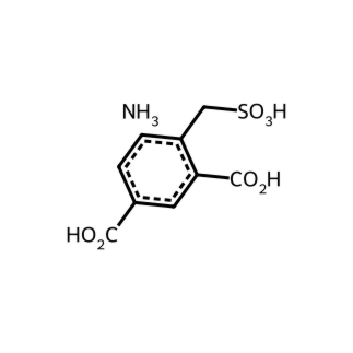 N.O=C(O)c1ccc(CS(=O)(=O)O)c(C(=O)O)c1